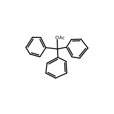 CC(=O)OC(c1ccccc1)(c1ccccc1)c1ccccc1